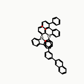 c1ccc(-c2ccccc2-c2ccccc2N(c2ccc(-c3cccc(-c4ccc5ccccc5c4)c3)cc2)c2ccccc2-n2c3ccccc3c3ccccc32)cc1